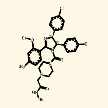 CCOc1cc(C(C)(C)C)ccc1C1=N[C@@H](c2ccc(Cl)cc2)[C@@H](c2ccc(Cl)cc2)N1C(=O)N1CCN(CC(=O)NC(C)(C)C)CC1